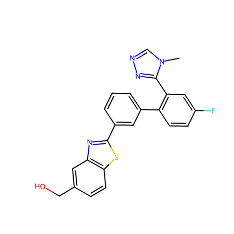 Cn1cnnc1-c1cc(F)ccc1-c1cccc(-c2nc3cc(CO)ccc3s2)c1